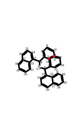 c1ccc(C(SC(c2ccccc2)c2cccc3ccccc23)c2cccc3ccccc23)cc1